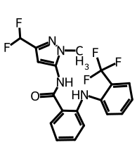 Cn1nc(C(F)F)cc1NC(=O)c1ccccc1Nc1ccccc1C(F)(F)F